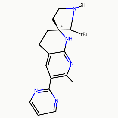 [2H]N1CC[C@@]2(CCc3cc(-c4ncccn4)c(C)nc3N2)C1C(C)(C)C